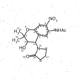 CC(=O)Nc1cc2c(cc1[N+](=O)[O-])OC(C)(C)C(O)C2N1CCCC1=O